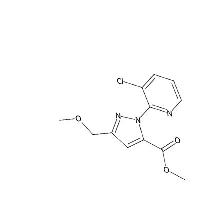 COCc1cc(C(=O)OC)n(-c2ncccc2Cl)n1